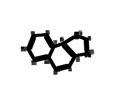 [c]1cc2ncsc2c2ccccc12